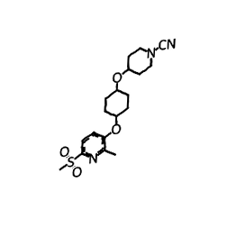 Cc1nc(S(C)(=O)=O)ccc1OC1CCC(OC2CCN(C#N)CC2)CC1